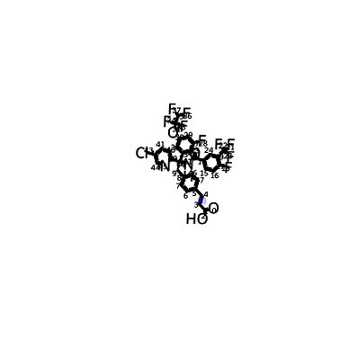 O=C(O)/C=C/c1ccc(C[C@](NC(=O)c2ccc(F)c(C(F)(F)F)c2)(c2cc(F)cc(OC(F)(F)C(F)F)c2)c2ccc(Cl)cn2)cc1